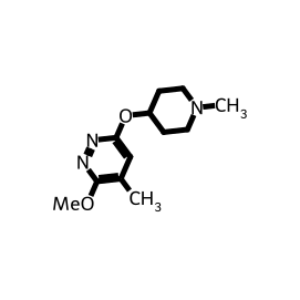 COc1nnc(OC2CCN(C)CC2)cc1C